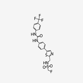 O=C(Nc1ccc(-c2cnc(CNS(=O)(=O)CF)s2)cc1)Nc1ccc(C(F)(F)F)cc1